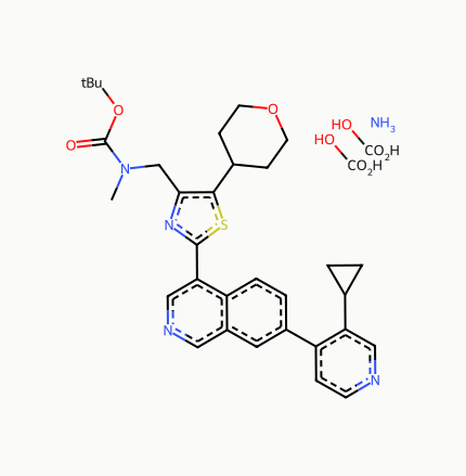 CN(Cc1nc(-c2cncc3cc(-c4ccncc4C4CC4)ccc23)sc1C1CCOCC1)C(=O)OC(C)(C)C.N.O=C(O)O.O=C(O)O